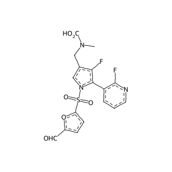 CN(Cc1cn(S(=O)(=O)c2ccc(C=O)o2)c(-c2cccnc2F)c1F)C(=O)O